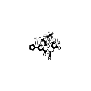 CC1(C)C[C@@H](C[C@@H](C#N)NC(=O)C2C[C@@H](C3CCCC3)CN2C(=O)[C@@H](NC(=O)C(F)(F)F)C(C)(C)C)C(=O)N1